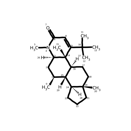 C[C@H]1C[C@H]2N(C)C(=O)C=C(C(C)(C)C)[C@]2(C)[C@H]2CC[C@]3(C)CCC[C@H]3[C@H]12